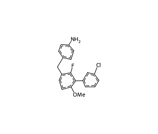 COc1ccc(Cc2ccc(N)cc2)c(F)c1-c1cccc(Cl)c1